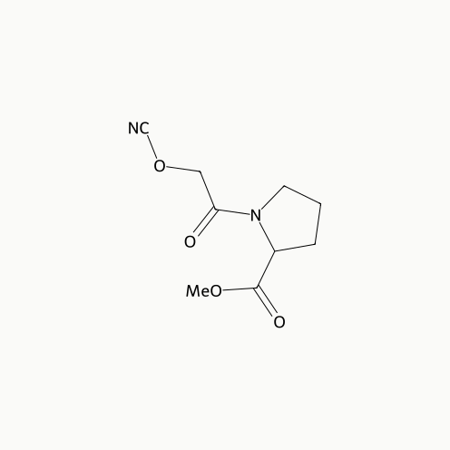 COC(=O)C1CCCN1C(=O)COC#N